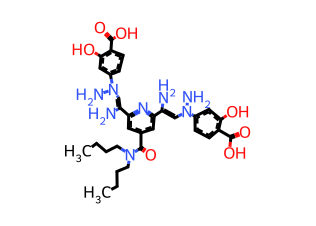 CCCCN(CCCC)C(=O)c1cc(/C(N)=C/N(N)c2ccc(C(=O)O)c(O)c2)nc(/C(N)=C/N(N)c2ccc(C(=O)O)c(O)c2)c1